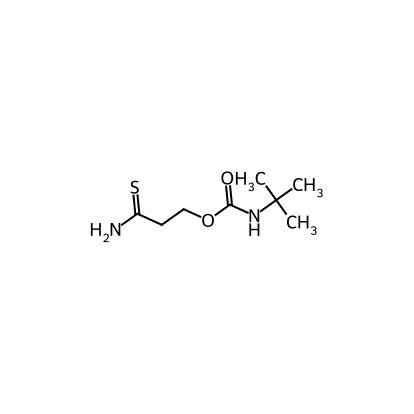 CC(C)(C)NC(=O)OCCC(N)=S